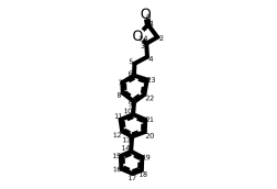 O=C1CC(CCc2ccc(-c3ccc(-c4ccccc4)cc3)cc2)O1